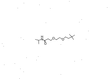 CC(C)NC(=O)CCOCCOCCC(C)(C)C